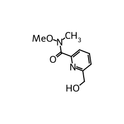 CON(C)C(=O)c1cccc(CO)n1